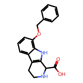 O=C(O)C1NCCc2c1[nH]c1c(OCc3ccccc3)cccc21